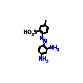 Cc1ccc(/N=N/c2ccc(N)cc2N)c(S(=O)(=O)O)c1